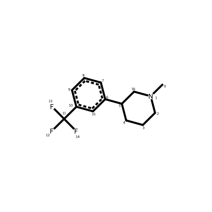 CN1CCCC(c2c[c]cc(C(F)(F)F)c2)C1